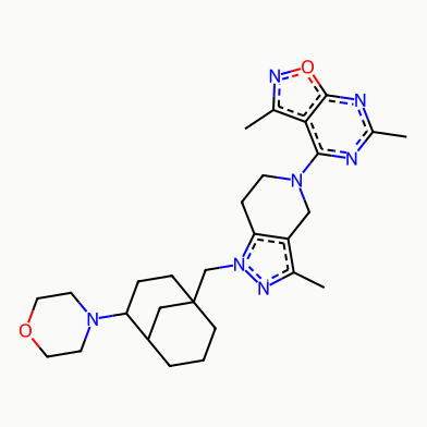 Cc1nc(N2CCc3c(c(C)nn3CC34CCCC(C3)C(N3CCOCC3)CC4)C2)c2c(C)noc2n1